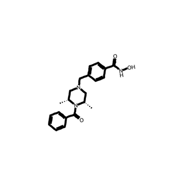 C[C@@H]1CN(Cc2ccc(C(=O)NO)cc2)C[C@H](C)N1C(=O)c1ccccc1